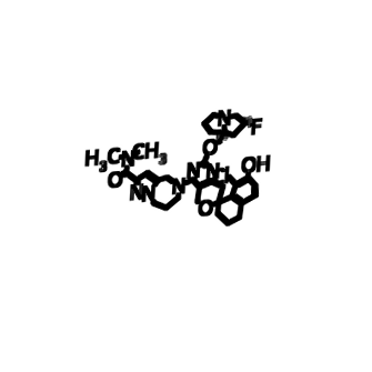 CN(C)C(=O)c1cc2n(n1)CCCN(c1nc(OC[C@@]34CCCN3C[C@H](F)C4)nc3c1COC1(CCCc4ccc(O)c(Cl)c41)C3)C2